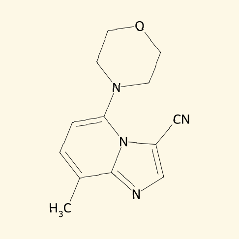 Cc1ccc(N2CCOCC2)n2c(C#N)cnc12